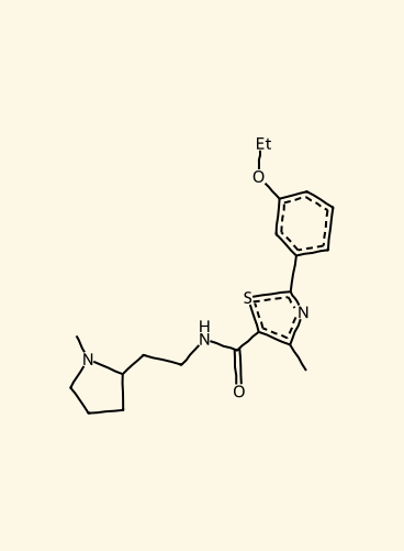 CCOc1cccc(-c2nc(C)c(C(=O)NCCC3CCCN3C)s2)c1